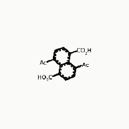 CC(=O)c1ccc(C(=O)O)c2c(C(C)=O)ccc(C(=O)O)c12